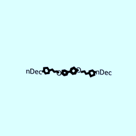 CCCCCCCCCCC1CCC(CCCOc2ccc(-c3ccc(OCCCC4CCC(CCCCCCCCCC)CC4)cc3)cc2)CC1